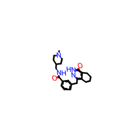 CN1CCC(CNC(=O)c2cccc(Cc3n[nH]c(=O)c4c3CCCC4)c2)CC1